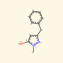 Cn1nc(Cc2ccccc2)cc1O